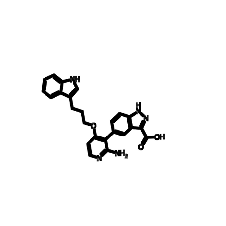 Nc1nccc(OCCCc2c[nH]c3ccccc23)c1-c1ccc2[nH]nc(C(=O)O)c2c1